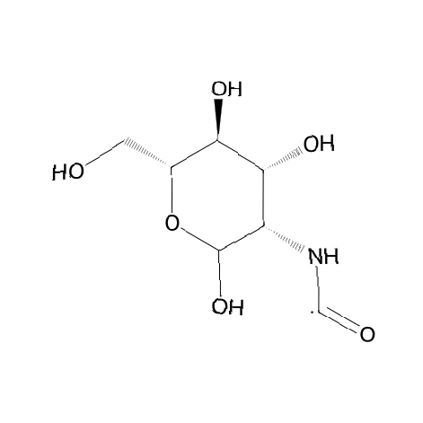 O=[C]N[C@@H]1C(O)O[C@H](CO)[C@@H](O)[C@@H]1O